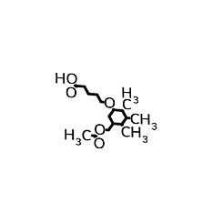 CC(=O)OCC1CC(OCCCCC(=O)O)C(C)C(C)C1C